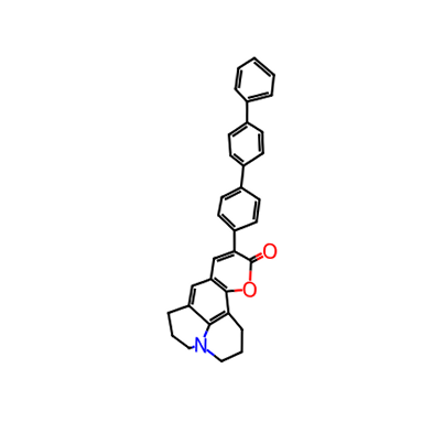 O=c1oc2c3c4c(cc2cc1-c1ccc(-c2ccc(-c5ccccc5)cc2)cc1)CCCN4CCC3